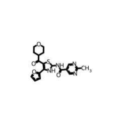 Cc1ncc(C(=O)NC2NC(c3ccco3)=C(C(=O)C3CCOCC3)S2)cn1